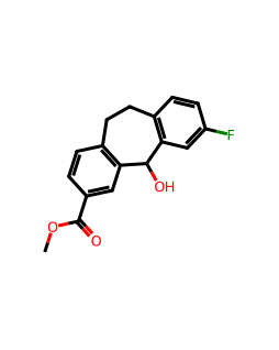 COC(=O)c1ccc2c(c1)C(O)c1cc(F)ccc1CC2